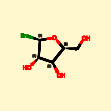 OC[C@H]1O[C@H](Br)[C@@H](O)[C@@H]1O